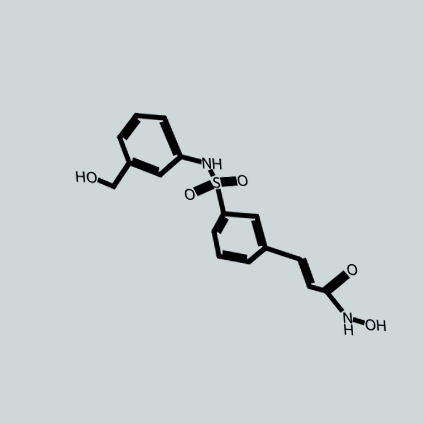 O=C(/C=C/c1cccc(S(=O)(=O)Nc2cccc(CO)c2)c1)NO